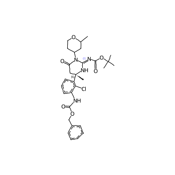 CC1CC(N2C(=O)C[C@@](C)(c3cccc(NC(=O)OCc4ccccc4)c3Cl)N/C2=N\C(=O)OC(C)(C)C)CCO1